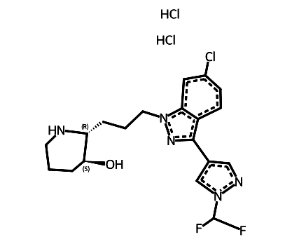 Cl.Cl.O[C@H]1CCCN[C@@H]1CCCn1nc(-c2cnn(C(F)F)c2)c2ccc(Cl)cc21